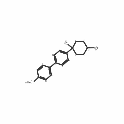 CCCCCCCc1ccc(-c2ccc(C3(C#N)CCC(CCC)CC3)cc2)cc1